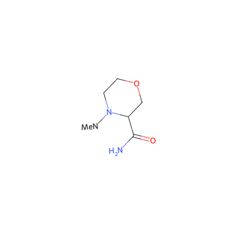 CNN1CCOCC1C(N)=O